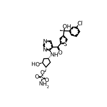 C[C@@](O)(c1cccc(Cl)c1)c1csc(C(=O)c2cncnc2N[C@@H]2C[C@H](COS(N)(=O)=O)[C@@H](O)C2)c1